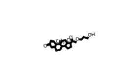 CC12C=CC(=O)C=C1CCC1C2=CCC2(C)C(C(=O)COCCCO)CCC12